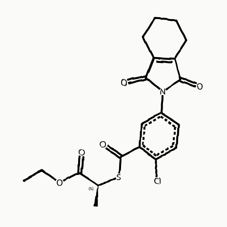 CCOC(=O)[C@H](C)SC(=O)c1cc(N2C(=O)C3=C(CCCC3)C2=O)ccc1Cl